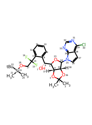 CC1(C)O[C@@H]2[C@@H]([C@H](O)c3ccccc3C(F)(F)CO[Si](C)(C)C(C)(C)C)OC(n3ccc4c(Cl)ncnc43)[C@@H]2O1